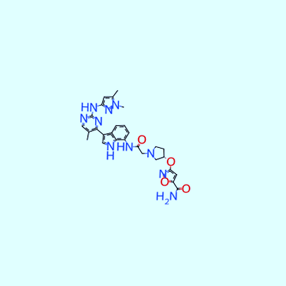 Cc1cnc(Nc2cc(C)n(C)n2)nc1-c1c[nH]c2c(NC(=O)CN3CC[C@H](Oc4cc(C(N)=O)on4)C3)cccc12